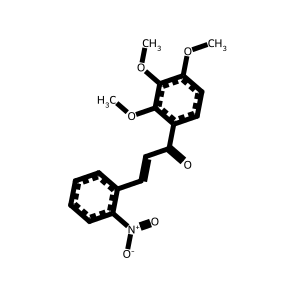 COc1ccc(C(=O)C=Cc2ccccc2[N+](=O)[O-])c(OC)c1OC